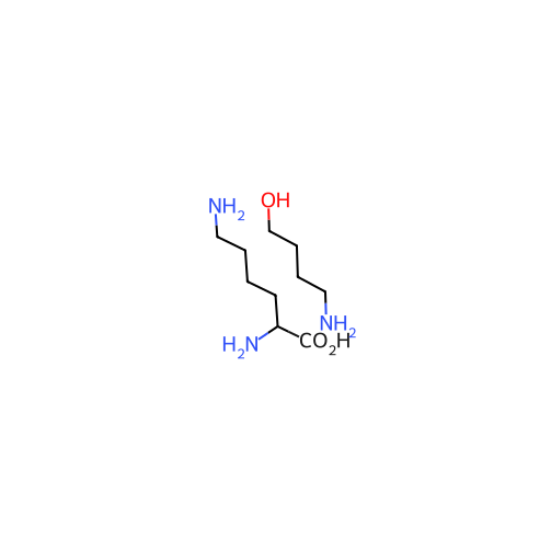 NCCCCC(N)C(=O)O.NCCCCO